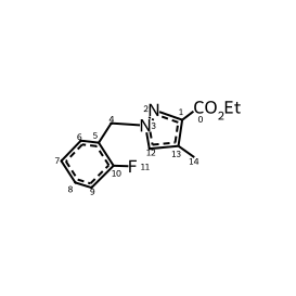 CCOC(=O)c1nn(Cc2ccccc2F)cc1C